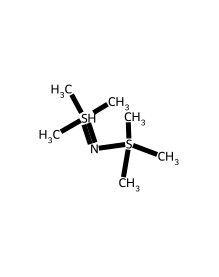 CS(C)(C)N=[SH](C)(C)C